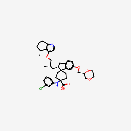 C[C@@H](COc1ccnc2c1[C@H](C)CCC2)C[C@H]1Cc2ccc(OC[C@@H]3COCCO3)cc2C12CCC(Nc1cccc(Cl)c1)(C(=O)O)CC2